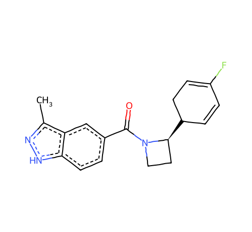 Cc1n[nH]c2ccc(C(=O)N3CC[C@@H]3C3C=CC(F)=CC3)cc12